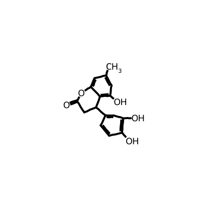 Cc1cc(O)c2c(c1)OC(=O)CC2c1ccc(O)c(O)c1